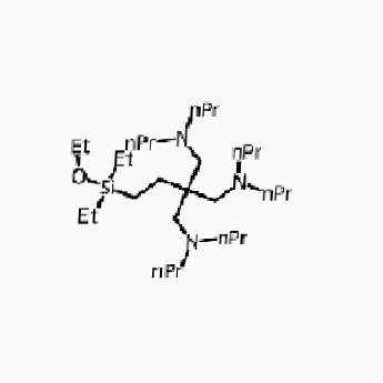 CCCN(CCC)CC(CC[Si](CC)(CC)OCC)(CN(CCC)CCC)CN(CCC)CCC